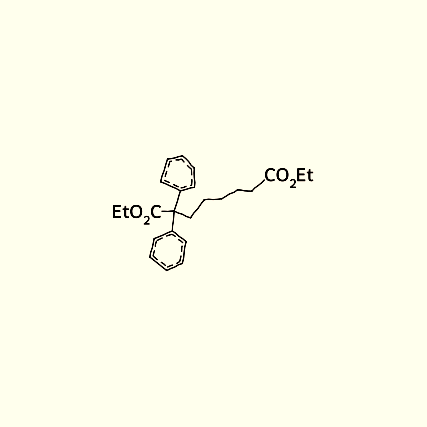 CCOC(=O)CCCCCC(C(=O)OCC)(c1ccccc1)c1ccccc1